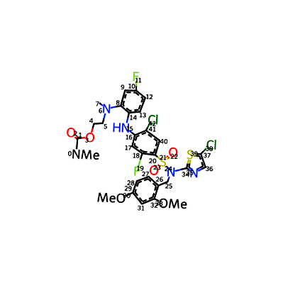 CNC(=O)OCCN(C)c1cc(F)ccc1Nc1cc(F)c(S(=O)(=O)N(Cc2ccc(OC)cc2OC)c2ncc(Cl)s2)cc1Cl